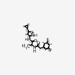 CC(NC(=O)Cc1cc(F)cc(F)c1)C(=O)Nc1cc(C2CC2)n[nH]1